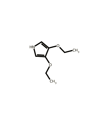 CCOc1c[nH]cc1OCC